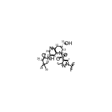 Cc1nn(C(F)F)cc1S(=O)(=O)N1C[C@@H](CO)Cc2ncc(NC(=O)[C@@H](C)C(C)(C)C)cc21